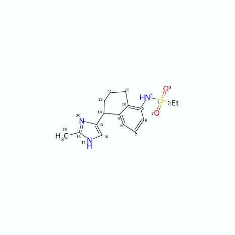 CCS(=O)(=O)Nc1cccc2c1CCCC2c1c[nH]c(C)n1